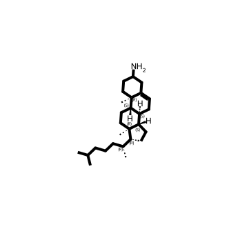 CC(C)CCC[C@@H](C)[C@H]1CC[C@H]2[C@@H]3CC=C4CC(N)CC[C@]4(C)[C@H]3CC[C@]12C